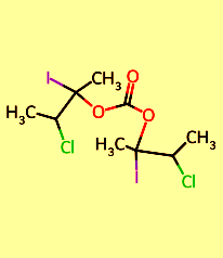 CC(Cl)C(C)(I)OC(=O)OC(C)(I)C(C)Cl